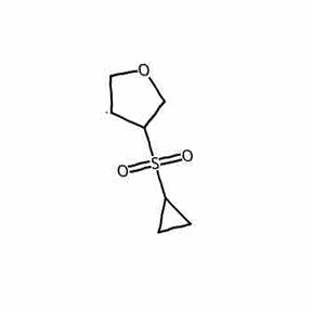 O=S(=O)(C1[CH]COC1)C1CC1